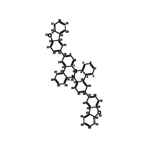 c1ccc2c(c1)B1c3ccc(-c4ccc5oc6ccccc6c5c4)cc3-c3ccccc3N1c1ccc(-c3ccc4oc5ccccc5c4c3)cc1-2